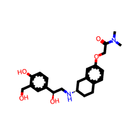 CN(C)C(=O)COc1ccc2c(c1)C[C@@H](NC[C@@H](O)c1ccc(O)c(CO)c1)CC2